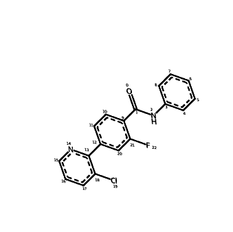 O=C(Nc1ccccc1)c1ccc(-c2ncccc2Cl)cc1F